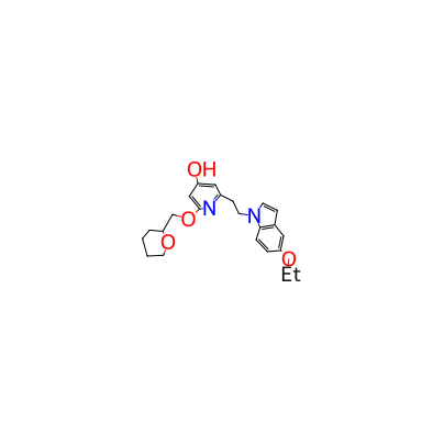 CCOc1ccc2c(ccn2CCc2cc(O)cc(OCC3CCCCO3)n2)c1